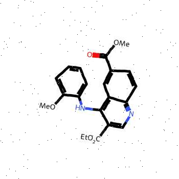 CCOC(=O)c1cnc2ccc(C(=O)OC)cc2c1Nc1ccccc1OC